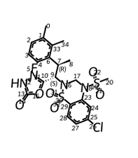 Cc1ccc(F)c([C@@H](C)[C@@H](c2n[nH]c(=O)o2)N2CN(S(C)(=O)=O)c3cc(Cl)ccc3S2(=O)=O)c1C